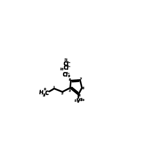 CCCC1=[C]([V+3])CC=C1.[Cl-].[Cl-].[Cl-]